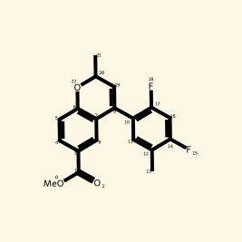 COC(=O)c1ccc2c(c1)C(c1cc(C)c(F)cc1F)=CC(C)O2